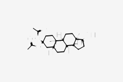 CC(=O)OC1(OC(C)=O)CC[C@@]2(C)[C@H](CC[C@H]3[C@H]4CC[C@H](O)[C@@]4(C)CC[C@@H]32)C1